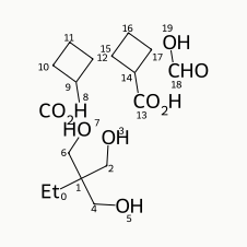 CCC(CO)(CO)CO.O=C(O)C1CCC1.O=C(O)C1CCC1.O=CO